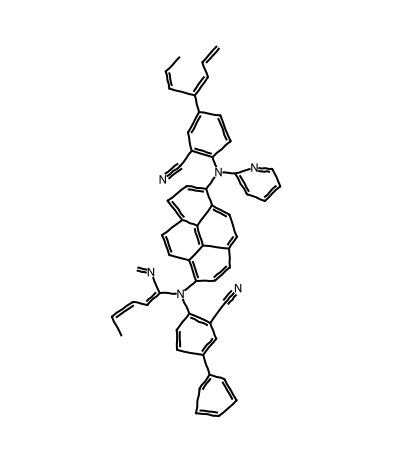 C=C/C=C(\C=C/C)c1ccc(N(c2ccccn2)c2ccc3ccc4c(N(/C(=C/C=C\C)N=C)c5ccc(-c6ccccc6)cc5C#N)ccc5ccc2c3c54)c(C#N)c1